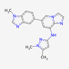 Cc1cc(Nc2cc(-c3ccc4c(c3)ncn4C)cn3ccnc23)nn1C